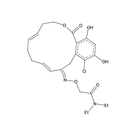 CCN(CC)C(=O)CO/N=C1/C=C/CC/C=C/CCOC(=O)c2c(O)cc(O)c(Cl)c2C1